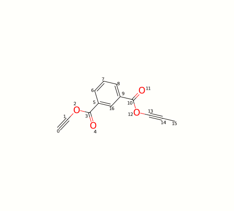 C#COC(=O)c1cccc(C(=O)OC#CC)c1